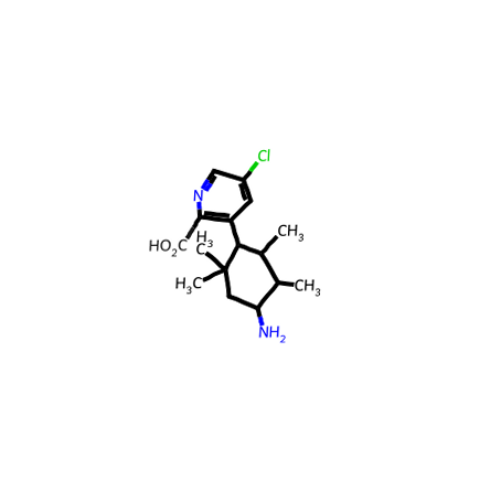 CC1C(N)CC(C)(C)C(c2cc(Cl)cnc2C(=O)O)C1C